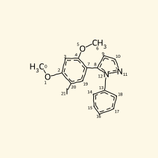 COc1cc(OC)c(-c2ccnn2-c2ccccc2)cc1I